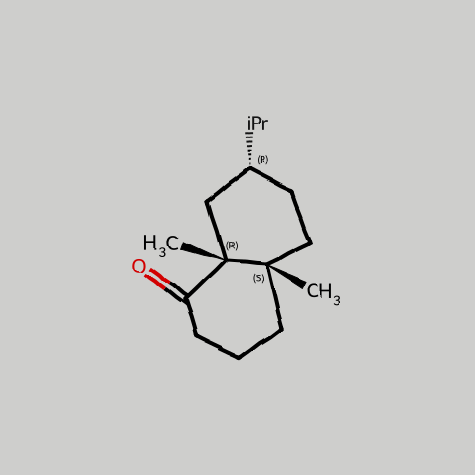 CC(C)[C@@H]1CC[C@]2(C)CCCC(=O)[C@]2(C)C1